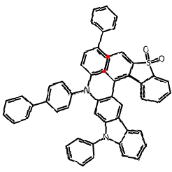 O=S1(=O)c2ccccc2-c2c(-c3cc4c5ccccc5n(-c5ccccc5)c4cc3N(c3ccc(-c4ccccc4)cc3)c3ccc(-c4ccccc4)cc3)cccc21